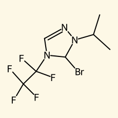 CC(C)N1N=CN(C(F)(F)C(F)(F)F)C1Br